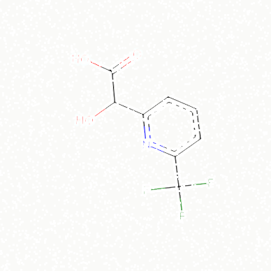 O=C(O)C(O)c1cccc(C(F)(F)F)n1